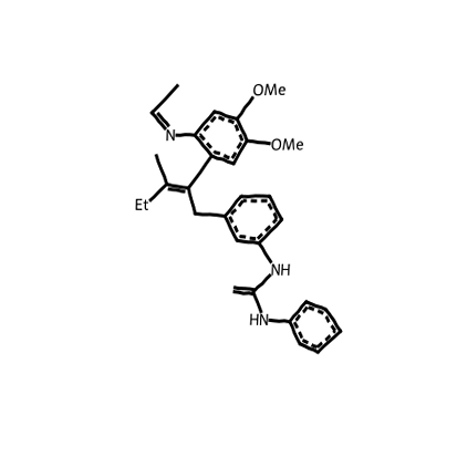 C=C(Nc1ccccc1)Nc1cccc(C/C(=C(/C)CC)c2cc(OC)c(OC)cc2/N=C\C)c1